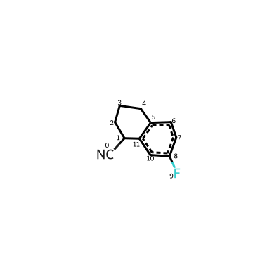 N#CC1CCCc2ccc(F)cc21